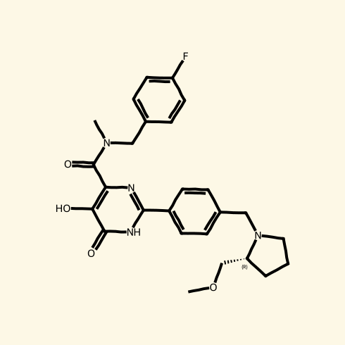 COC[C@H]1CCCN1Cc1ccc(-c2nc(C(=O)N(C)Cc3ccc(F)cc3)c(O)c(=O)[nH]2)cc1